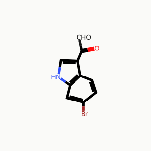 O=CC(=O)c1c[nH]c2cc(Br)ccc12